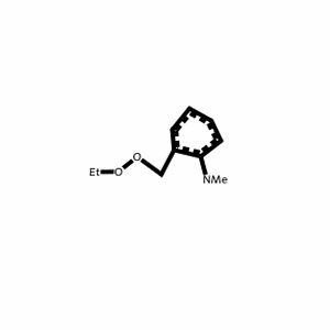 CCOOCc1ccccc1NC